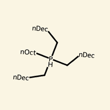 CCCCCCCCCCC[PH](CCCCCCCC)(CCCCCCCCCCC)CCCCCCCCCCC